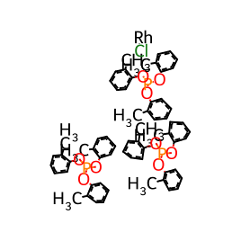 Cc1ccccc1OP(Oc1ccccc1C)Oc1ccccc1C.Cc1ccccc1OP(Oc1ccccc1C)Oc1ccccc1C.Cc1ccccc1OP(Oc1ccccc1C)Oc1ccccc1C.[Cl][Rh]